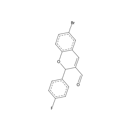 O=CC1=Cc2cc(Br)ccc2OC1c1ccc(F)cc1